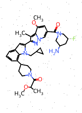 COc1cc(C(=O)N2C[C@H](N)C[C@@H](F)C2)cn2nc(-c3cc4cccc(C5CCN(C(=O)C(C)OC)CC5)c4n3CC3CC3)c(C)c12